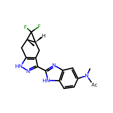 CC(=O)N(C)c1ccc2[nH]c(-c3n[nH]c4c3C[C@H]3C(F)(F)[C@@]3(C)C4)nc2c1